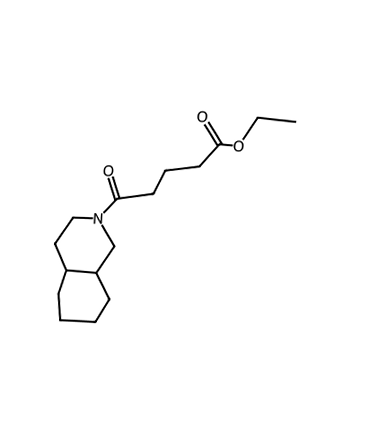 CCOC(=O)CCCC(=O)N1CCC2CCCCC2C1